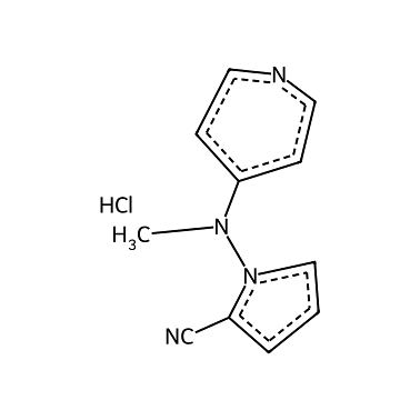 CN(c1ccncc1)n1cccc1C#N.Cl